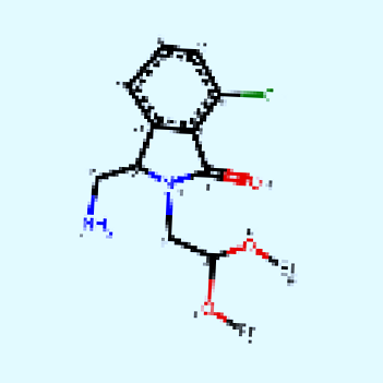 CCOC(CN1C(=O)c2c(Cl)cccc2C1CN)OCC